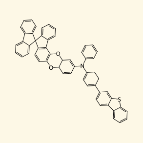 C1=CC2Oc3ccc4c(c3OC2C=C1N(C1=CC=C(c2ccc3c(c2)sc2ccccc23)CC1)c1ccccc1)-c1ccccc1C41c2ccccc2-c2ccccc21